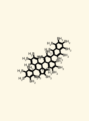 BC1=C(B)C2C(=C1B)C(c1c(B)c(B)c(B)c(B)c1B)=c1c(B)c(B)c(B)c(B)c1=C2c1c(B)c(B)c(-c2c(B)c(B)c3c(B)c(B)c(B)c(B)c3c2B)c2c(B)c(B)c(B)c(B)c12